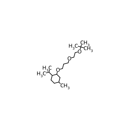 CC1CCC(C(C)C)C(OCCCOCCOC(C)(C)C)C1